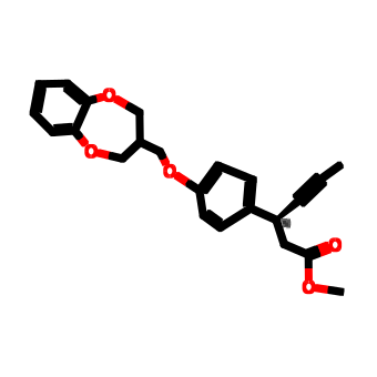 CC#C[C@@H](CC(=O)OC)c1ccc(OCC2COc3ccccc3OC2)cc1